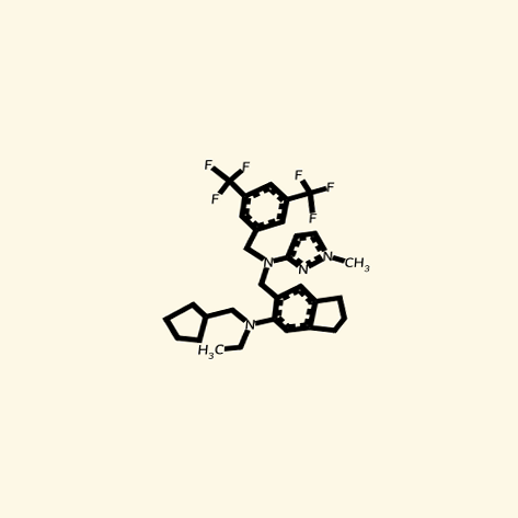 CCN(CC1CCCC1)c1cc2c(cc1CN(Cc1cc(C(F)(F)F)cc(C(F)(F)F)c1)c1ccn(C)n1)CCC2